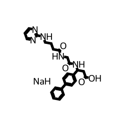 O=C(O)CC(NC(=O)CNC(=O)CCCNc1ncccn1)c1ccc(-c2ccccc2)cc1.[NaH]